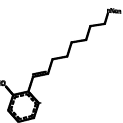 CCCCCCCCCCCCCCC/C=C/c1[c]cccc1O